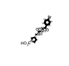 O=C(NC[C@@H]1CCN(C(=O)O)C1)NNC(=O)c1ccc(Br)cc1